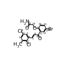 Cc1cc(Cl)cc(/C=C/C(=O)c2cc(Br)ccc2OCC(N)=O)c1Cl